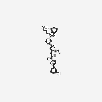 COCCCn1c([C@@H]2CCCN(C(=O)C[C@H](N)CNC(=O)c3ccc(-c4cccc(Cl)c4)o3)C2)nc2ccccc21